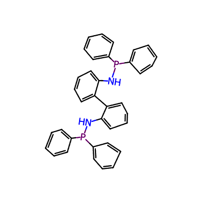 c1ccc(P(Nc2ccccc2-c2ccccc2NP(c2ccccc2)c2ccccc2)c2ccccc2)cc1